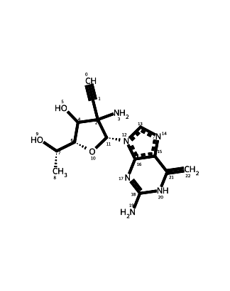 C#CC1(N)C(O)[C@@H]([C@H](C)O)O[C@H]1n1cnc2c1N=C(N)NC2=C